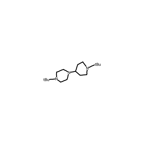 CC(C)(C)N1CCC(N2CCN(C(C)(C)C)CC2)CC1